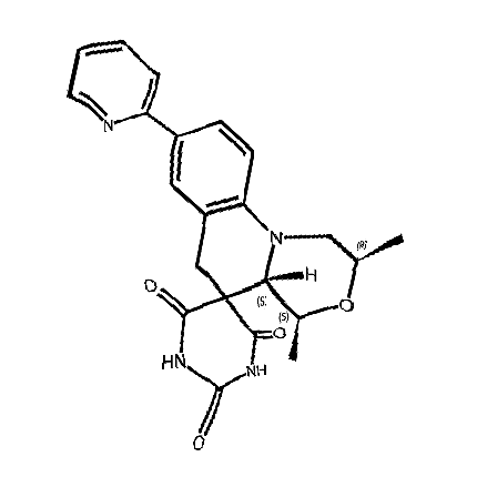 C[C@@H]1CN2c3ccc(-c4ccccn4)cc3CC3(C(=O)NC(=O)NC3=O)[C@H]2[C@H](C)O1